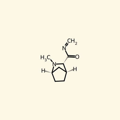 C=NC(=O)[C@@H]1[C@H]2CC[C@H](C2)N1C